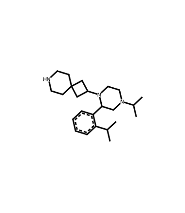 CC(C)c1ccccc1C1CN(C(C)C)CCN1C1CC2(CCNCC2)C1